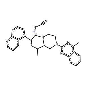 Cc1nc(N2CCN(/C(=N\C#N)Nc3cccc4ncccc34)C(C(C)C)C2)nc2ccccc12